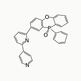 O=P1(c2ccccc2)c2ccccc2Oc2ccc(-c3cccc(-c4ccncc4)n3)cc21